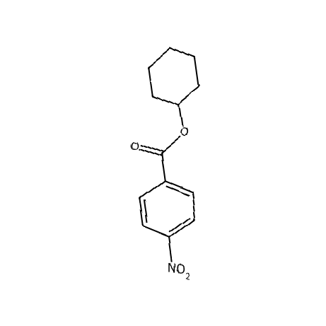 O=C(OC1CCCCC1)c1ccc([N+](=O)[O-])cc1